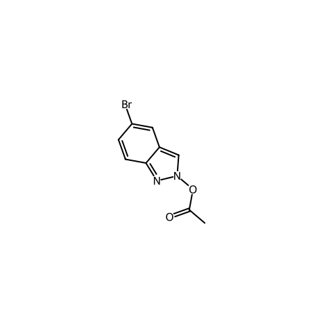 CC(=O)On1cc2cc(Br)ccc2n1